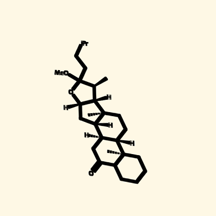 COC1(CCC(C)C)O[C@H]2C[C@H]3[C@@H]4CC(=O)C5CCCC[C@]5(C)[C@H]4CC[C@]3(C)[C@H]2[C@@H]1C